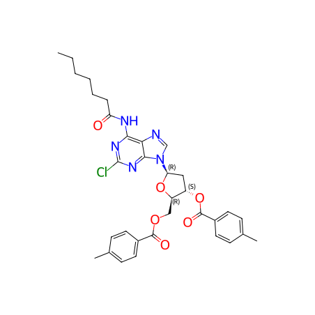 CCCCCCC(=O)Nc1nc(Cl)nc2c1ncn2[C@H]1C[C@H](OC(=O)c2ccc(C)cc2)[C@@H](COC(=O)c2ccc(C)cc2)O1